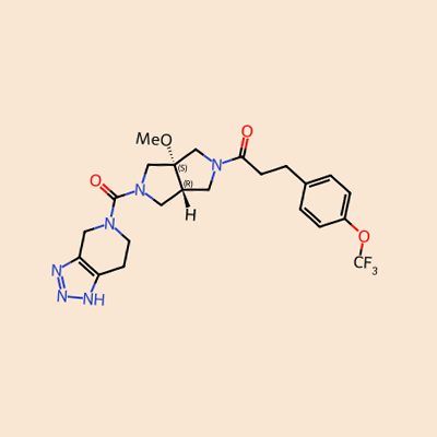 CO[C@]12CN(C(=O)CCc3ccc(OC(F)(F)F)cc3)C[C@@H]1CN(C(=O)N1CCc3[nH]nnc3C1)C2